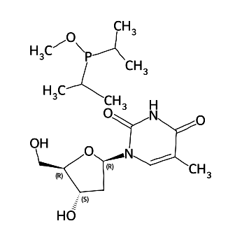 COP(C(C)C)C(C)C.Cc1cn([C@H]2C[C@H](O)[C@@H](CO)O2)c(=O)[nH]c1=O